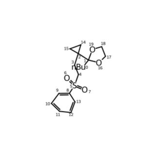 CCCCC1(C2(CCS(=O)(=O)c3ccccc3)CC2)OCCO1